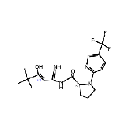 CC(C)(C)/C(O)=C/C(=N)NC(=O)[C@@H]1CCCN1c1ccc(C(F)(F)F)cn1